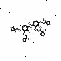 CCC1(COc2ccc(S(=O)(=O)c3ccc(OCC4(CC)COC4)c(OCC4(CC)COC4)c3C)c(C)c2OCC2(CC)COC2)COC1